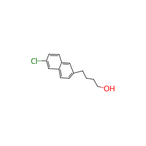 OCCCCc1ccc2cc(Cl)ccc2c1